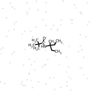 CCC(C)(CC)N[S+]([O-])C(C)(C)C